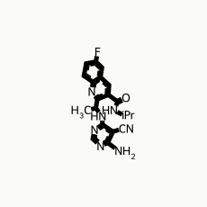 CC(C)NC(=O)c1cc2cc(F)ccc2nc1C(C)Nc1ncnc(N)c1C#N